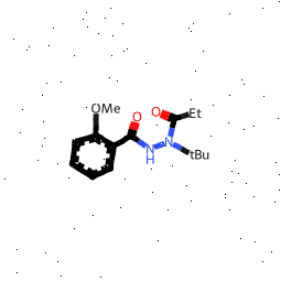 CCC(=O)N(NC(=O)c1ccccc1OC)C(C)(C)C